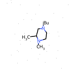 CCC(C)N1CCN(C)C(C)C1